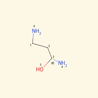 NCC[C@H](N)O